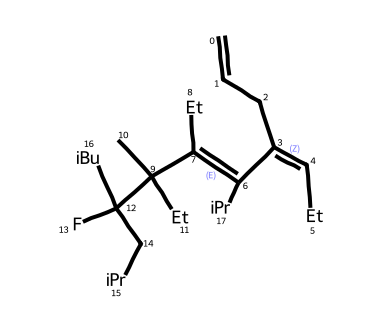 C=CCC(=C/CC)/C(=C(\CC)C(C)(CC)C(F)(CC(C)C)C(C)CC)C(C)C